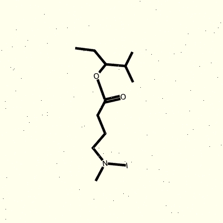 CCC(OC(=O)CCCN(C)I)C(C)C